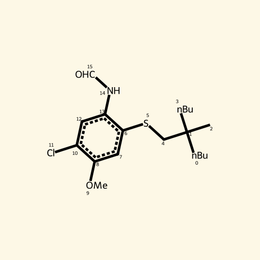 CCCCC(C)(CCCC)CSc1cc(OC)c(Cl)cc1NC=O